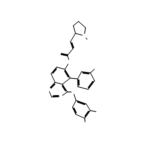 CN1CCCC1/C=C/C(=O)Nc1ccc2ncnc(Nc3ccc(F)c(Cl)c3)c2c1-c1cccc(Cl)c1